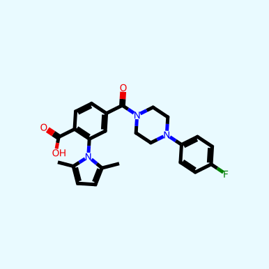 Cc1ccc(C)n1-c1cc(C(=O)N2CCN(c3ccc(F)cc3)CC2)ccc1C(=O)O